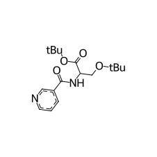 CC(C)(C)OCC(NC(=O)c1cccnc1)C(=O)OC(C)(C)C